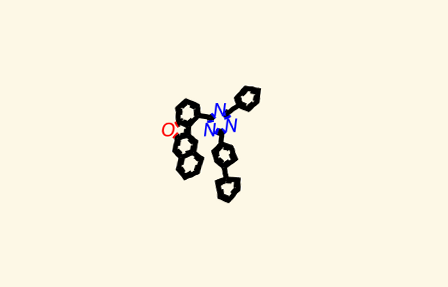 c1ccc(-c2ccc(-c3nc(-c4ccccc4)nc(-c4cccc5oc6cc7ccccc7cc6c45)n3)cc2)cc1